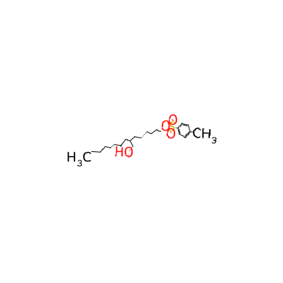 CCCCCCCCC(CO)CCCCCCOS(=O)(=O)c1ccc(C)cc1